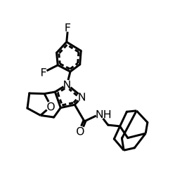 O=C(NCC12CC3CC(CC(C3)C1)C2)c1nn(-c2ccc(F)cc2F)c2c1CC1CCC2O1